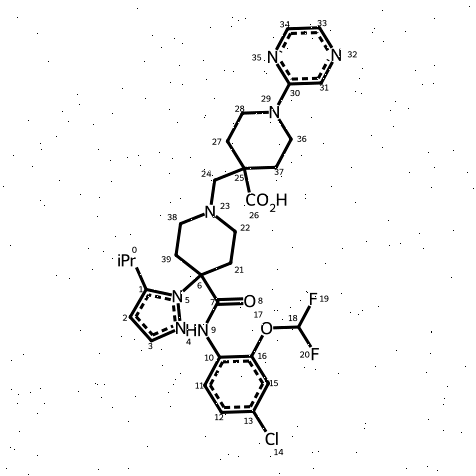 CC(C)c1ccnn1C1(C(=O)Nc2ccc(Cl)cc2OC(F)F)CCN(CC2(C(=O)O)CCN(c3cnccn3)CC2)CC1